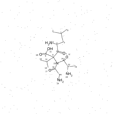 CC(C)CC(N)C(=O)C(C(=O)O)(C(C)C)N(C(=O)CN)C(=O)C(C)N